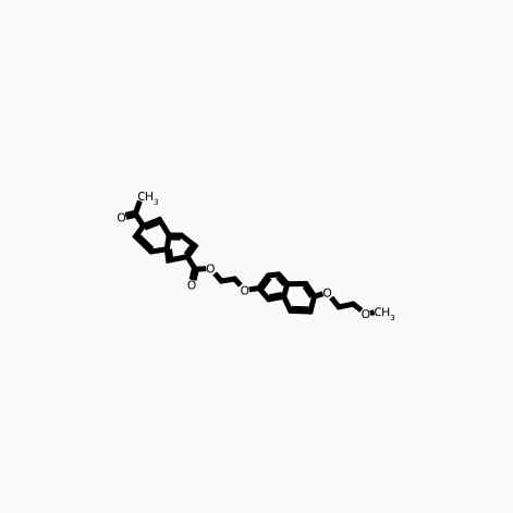 COCCOc1ccc2cc(OCCOC(=O)c3ccc4cc(C(C)=O)ccc4c3)ccc2c1